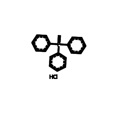 C=P(c1ccccc1)(c1ccccc1)c1ccccc1.Cl